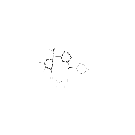 CC(O)C(=O)O.CN1CCC(C(=O)c2cccc(N(C(N)=O)c3cc(F)c(F)c(F)c3)c2)CC1